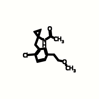 COCCc1ccc(Cl)c(CC2(NC(C)=O)CC2)c1